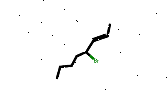 CC=CC(Br)CCCC